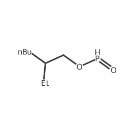 CCCCC(CC)CO[PH]=O